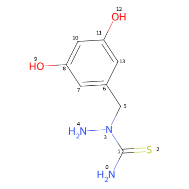 NC(=S)N(N)Cc1cc(O)cc(O)c1